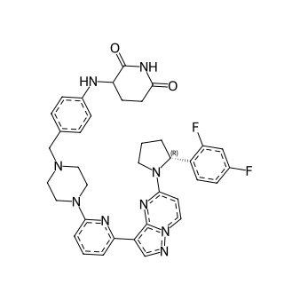 O=C1CCC(Nc2ccc(CN3CCN(c4cccc(-c5cnn6ccc(N7CCC[C@@H]7c7ccc(F)cc7F)nc56)n4)CC3)cc2)C(=O)N1